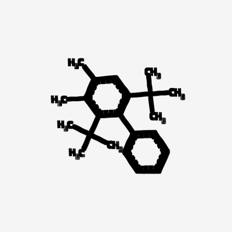 Cc1cc(C(C)(C)C)c(-c2ccccc2)c(C(C)(C)C)c1C